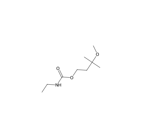 CCNC(=O)OCCC(C)(C)OC